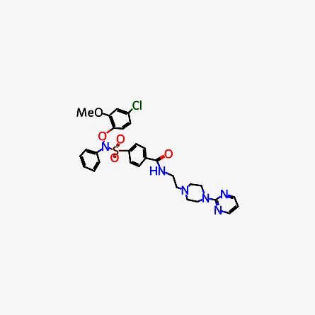 COc1cc(Cl)ccc1ON(c1ccccc1)S(=O)(=O)c1ccc(C(=O)NCCN2CCN(c3ncccn3)CC2)cc1